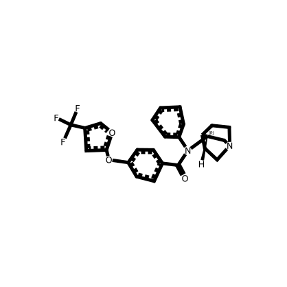 O=C(c1ccc(Oc2cc(C(F)(F)F)co2)cc1)N(c1ccccc1)[C@H]1CN2CCC1CC2